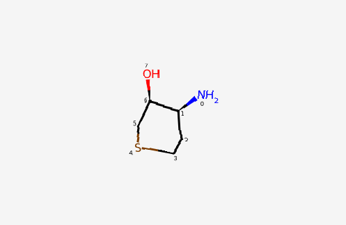 N[C@H]1CCSC[C@H]1O